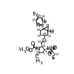 COC(=O)N1[C@H](C)C[C@H](NS(=O)(=O)CF)[C@@H]1CO[C@H]1CC[C@@]2(c3ncc(F)cn3)C[C@H]2C1